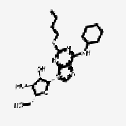 CCCCSc1nc(NC2CCCCC2)c2ncn([C@@H]3O[C@H](CO)[C@@H](O)[C@H]3O)c2n1